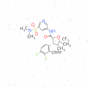 COc1c([C@@H]2[C@@H](C(=O)Nc3cncc(S(=O)(=O)N(C)C)c3)O[C@](C)(C(F)(F)F)[C@@H]2C)ccc(F)c1F